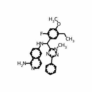 CCc1cc(C(Nc2ccc3c(N)nccc3c2)c2nc(-c3ccccc3)nn2C)c(F)cc1OC